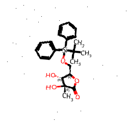 CC(C)(C)[Si](OC[C@H]1OC(=O)[C@](C)(O)[C@@H]1O)(c1ccccc1)c1ccccc1